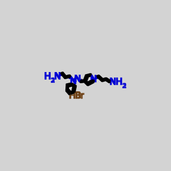 Br.NCCCCN1C=CC(/C=N/N(CCCN)c2ccccc2)=CC1